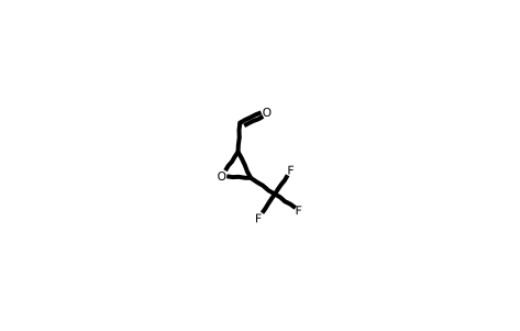 O=CC1OC1C(F)(F)F